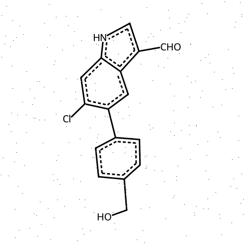 O=Cc1c[nH]c2cc(Cl)c(-c3ccc(CO)cc3)cc12